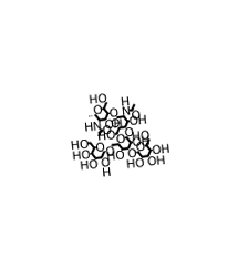 CC(=O)NC1C(O)[C@H](O[C@@H]2OC(CO[C@H]3OC(CO)[C@@H](O)C(O)C3O)[C@@H](O)C(O[C@H]3OC(CO)[C@@H](O)C(O)C3O)C2O)C(CO)O[C@H]1O[C@@H]1C(CO)O[C@@H](C)C(NC(C)=O)C1O